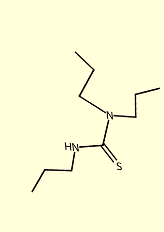 CCCNC(=S)N(CCC)CCC